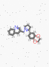 c1ccc2ncc(CN3CCC[C@H]3c3ccc4c(c3)OCCO4)cc2c1